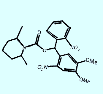 COc1cc(C(OC(=O)N2C(C)CCCC2C)c2ccccc2[N+](=O)[O-])c([N+](=O)[O-])cc1OC